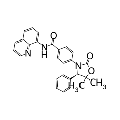 CC1(C)OC(=O)N(c2ccc(C(=O)Nc3cccc4cccnc34)cc2)[C@@H]1c1ccccc1